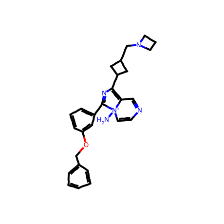 N[N+]12C=CN=CC1=C(C1CC(CN3CCC3)C1)N=C2c1cccc(OCc2ccccc2)c1